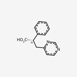 O=C(O)[C@@H](Cc1ccncn1)c1ccccc1